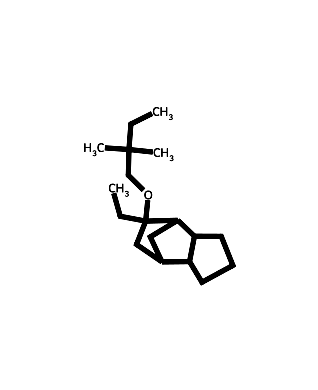 CCC(C)(C)COC1(CC)CC2CC1C1CCCC21